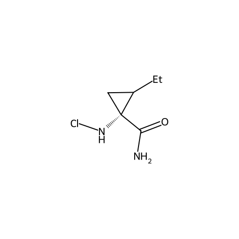 CCC1C[C@]1(NCl)C(N)=O